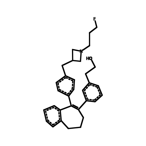 OCCc1cccc(C2=C(c3ccc(CC4CN(CCCF)C4)cc3)c3ccccc3CCC2)c1